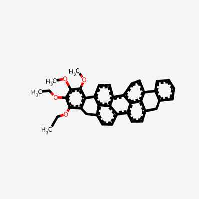 CCOc1c2c(c(OC)c(OC)c1OCC)-c1ccc3c4ccc5c6c(ccc(c7ccc(c1c73)C2)c64)Cc1ccccc1-5